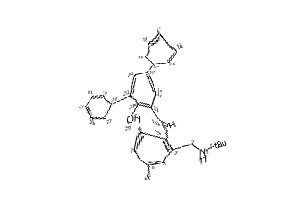 CC(C)(C)NCc1cc(F)ccc1Pc1cc(C2C=CC=CC2)cc(C2C=CC=CC2)c1O